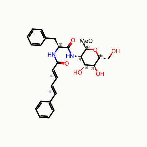 CO[C@H]1O[C@H](CO)[C@@H](O)[C@H](O)[C@@H]1NC(=O)[C@H](Cc1ccccc1)NC(=O)/C=C/C=C/c1ccccc1